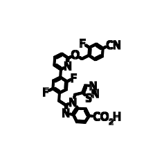 N#Cc1ccc(COc2cccc(-c3cc(F)c(Cc4nc5ccc(C(=O)O)cc5n4Cc4cnns4)cc3F)n2)c(F)c1